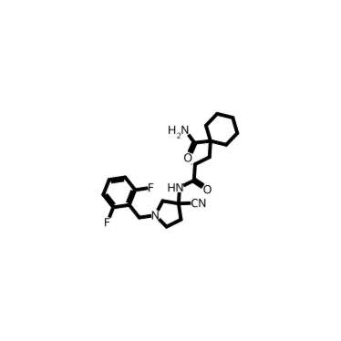 N#CC1(NC(=O)[CH]CC2(C(N)=O)CCCCC2)CCN(Cc2c(F)cccc2F)C1